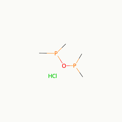 CP(C)OP(C)C.Cl